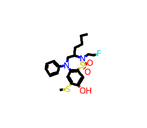 CCCCC1CN(c2ccccc2)c2cc(SC)c(O)cc2S(=O)(=O)N1CCF